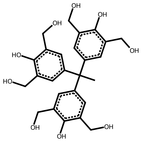 CC(c1cc(CO)c(O)c(CO)c1)(c1cc(CO)c(O)c(CO)c1)c1cc(CO)c(O)c(CO)c1